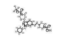 CC1CC(c2nn(Cc3ccccc3)c3cc(/C=C/C4CCN(C(=O)O)CC4)ccc23)CCN1C(=O)OC(C)(C)C